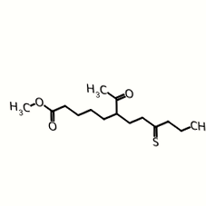 CCCC(=S)CCC(CCCCC(=O)OC)C(C)=O